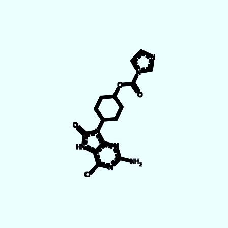 Nc1nc(Cl)c2[nH]c(=O)n(C3CCC(OC(=O)n4ccnc4)CC3)c2n1